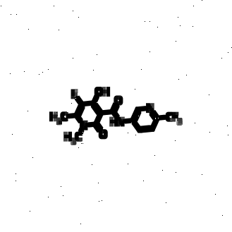 Cc1c(F)c(O)c(C(=O)Nc2ccc(C(F)(F)F)nc2)c(=O)n1C